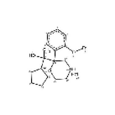 CCOc1ccccc1C1(C(C)(O)C2CCCC2)CNCCO1.Cl